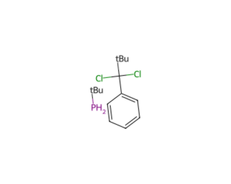 CC(C)(C)C(Cl)(Cl)c1ccccc1.CC(C)(C)P